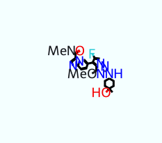 CNC(=O)c1cnc2ccc(-c3c(F)cn4nc(NC5CCC(C)(O)CC5)nc(OC)c34)cn12